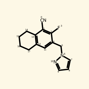 N#Cc1c(F)c(Cn2cccn2)cc2c1CCCC2